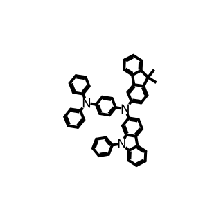 CC1(C)c2ccccc2-c2cc(N(c3ccc(N(c4ccccc4)c4ccccc4)cc3)c3ccc4c5ccccc5n(-c5ccccc5)c4c3)ccc21